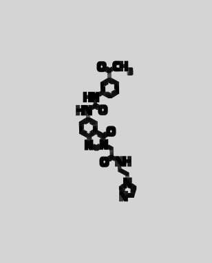 CC(=O)c1cccc(NC(=O)Nc2ccc3ncn(CC(=O)NCCn4ccnc4)c(=O)c3c2)c1